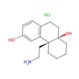 Cl.NCC[C@]12CCCC[C@@]1(O)CCc1ccc(O)cc12